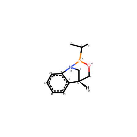 CC(C)P1OC[C@H]2CN1c1ccccc12